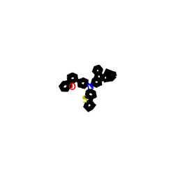 c1ccc2c(c1)-c1cc(N(c3ccc(-c4cccc5c4oc4ccccc45)cc3)c3ccc4c(c3)sc3ccccc34)ccc1C21C2CC3CC4CC1C4(C3)C2